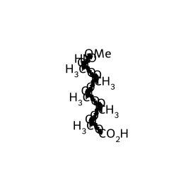 COC(=O)NCC(=O)N(C)CCOCC(=O)N(C)CCOCC(=O)N(C)CCOCC(=O)N(C)CCOCC(=O)N(C)CCOCC(=O)O